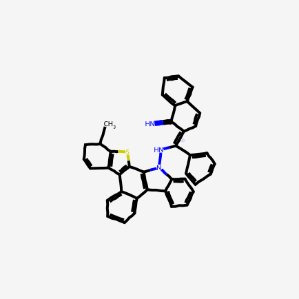 CC1CC=Cc2c1sc1c2c2ccccc2c2c3ccccc3n(N/C(=C3/C=Cc4ccccc4C3=N)c3ccccc3)c12